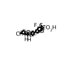 O=C(O)CC1(CC(F)(F)F)CCc2cc(-c3ccc(NC(=O)Nc4cccc(Cl)c4)cc3)ccc2C1=O